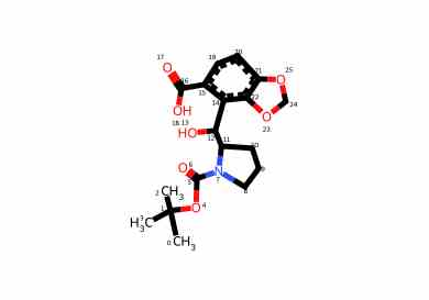 CC(C)(C)OC(=O)N1CCCC1C(O)c1c(C(=O)O)ccc2c1OCO2